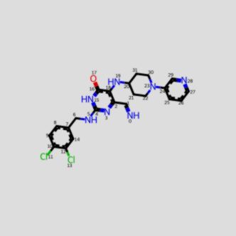 N=Cc1nc(NCc2ccc(Cl)c(Cl)c2)[nH]c(=O)c1NC1CCN(c2cccnc2)CC1